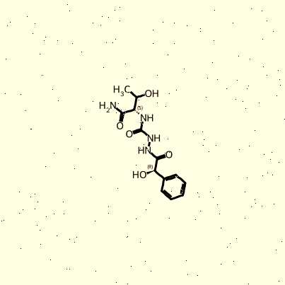 CC(O)[C@H](NC(=O)NNC(=O)[C@H](O)c1ccccc1)C(N)=O